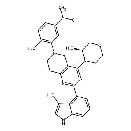 Cc1ccc(C(C)C)cc1N1CCc2nc(-c3cccc4[nH]cc(C)c34)nc(N3CCOC[C@@H]3C)c2C1